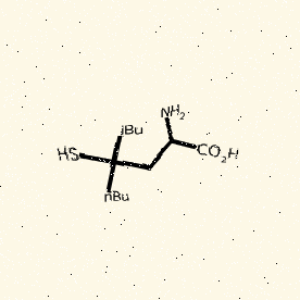 CCCCC(S)(CC(N)C(=O)O)C(C)CC